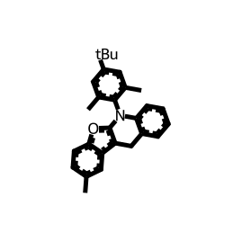 Cc1ccc2oc3c(c2c1)Cc1ccccc1N3c1c(C)cc(C(C)(C)C)cc1C